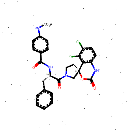 O=C(O)Nc1ccc(C(=O)N[C@@H](Cc2ccccc2)C(=O)N2CC[C@@]3(C2)OC(=O)Nc2ccc(Cl)c(F)c23)cc1